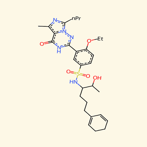 CCCc1nc(C)c2c(=O)[nH]c(-c3cc(S(=O)(=O)NC(CCCC4=CCCC=C4)C(C)O)ccc3OCC)nn12